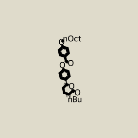 CCCCCCCCOc1ccc(C(=O)Oc2ccc([C@@H]3CC[C@@H](CCCC)C(=O)O3)cc2)cc1